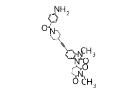 CCN1C(=O)CCC(n2c(=O)n(C)c3cc(C#CC4CCN(C(=O)c5ccc(N)cc5)CC4)ccc32)C1=O